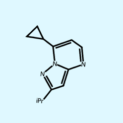 CC(C)c1cc2nccc(C3CC3)n2n1